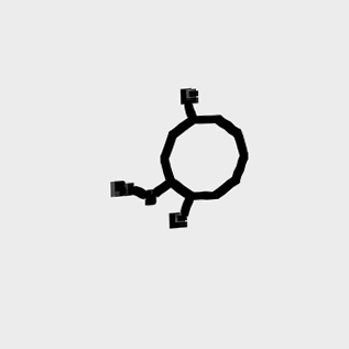 CCC1CCCCCC(CC)C(SC(C)CC)CC1